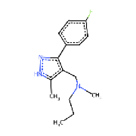 CCCN(C)Cc1c(-c2ccc(F)cc2)n[nH]c1C